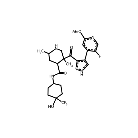 COc1cc(-c2c[nH]nc2C(=O)C2(C)CNC(C)CC2C(=O)NC2CCC(O)(C(F)(F)F)CC2)c(F)cn1